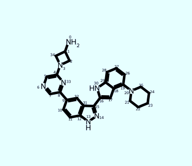 NC1CN(c2cncc(-c3ccc4[nH]nc(-c5cc6c(N7CCCCC7)cccc6[nH]5)c4c3)n2)C1